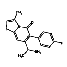 Cc1csc2cc(C(C)N)c(-c3ccc(F)cc3)c(=O)n12